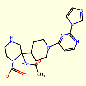 CC(=O)NC1(C2CCN(c3ccnc(-n4ccnc4)n3)CC2)CNCCN1C(=O)O